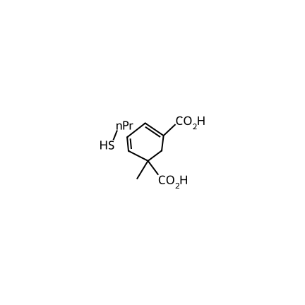 CC1(C(=O)O)C=CC=C(C(=O)O)C1.CCCS